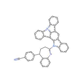 N#Cc1ccc(C2CCC(n3c4ccccc4c4cc5c6ccccc6n6c7ccccc7c(c43)c56)=Nc3ccccc32)cc1